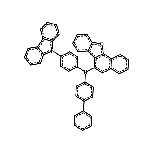 c1ccc(-c2ccc(N(c3ccc(-n4c5ccccc5c5ccccc54)cc3)c3cc4ccccc4c4oc5ccccc5c34)cc2)cc1